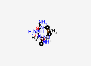 Cc1cccc2c1Sc1ccccc1CN[C@@H](CCCN)C(=O)N[C@@H](CN)C(=O)N(C)[C@@H](Cc1c(C)[nH]c3ccccc13)C(=O)NC2